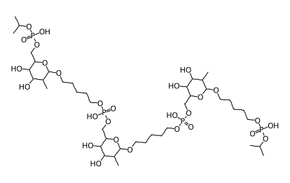 CC(C)OP(=O)(O)OCCCCCOC1OC(COP(=O)(O)OCCCCCOC2OC(COP(=O)(O)OCCCCCOC3OC(COP(=O)(O)OC(C)C)C(O)C(O)C3C)C(O)C(O)C2C)C(O)C(O)C1C